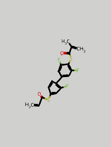 C=CC(=O)Sc1ccc(-c2cc(F)c(SC(=O)C(=C)C)c(F)c2)c(F)c1